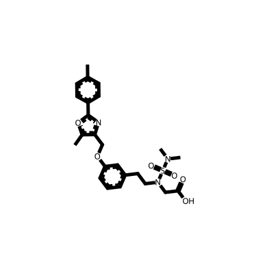 Cc1ccc(-c2nc(COc3cccc(CCN(CC(=O)O)S(=O)(=O)N(C)C)c3)c(C)o2)cc1